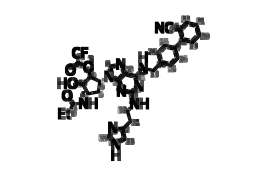 CCC(=O)N[C@H]1C[C@@H](n2cnc3c(NCc4ccc(-c5ccccc5C#N)cc4)nc(NCCc4c[nH]cn4)nc32)[C@H](OC(=O)C(F)(F)F)[C@@H]1O